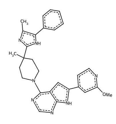 COc1cc(-c2cc3c(N4CCC(C)(c5nc(C)c(-c6ccccc6)[nH]5)CC4)ncnc3[nH]2)ccn1